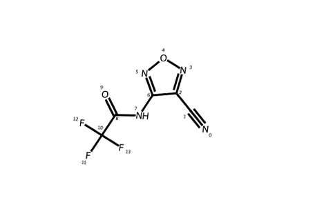 N#Cc1nonc1NC(=O)C(F)(F)F